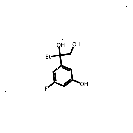 CCC(O)(CO)c1cc(O)cc(F)c1